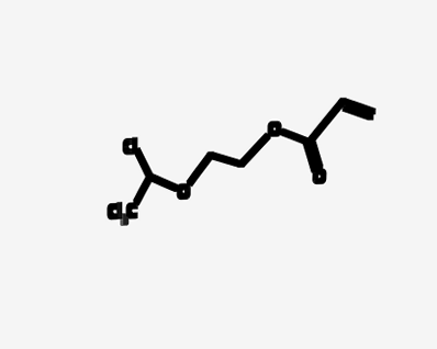 C=CC(=O)OCCOC(Cl)C(Cl)(Cl)Cl